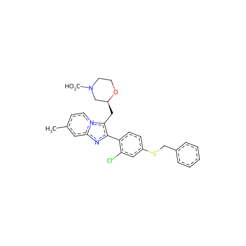 Cc1ccn2c(C[C@H]3CN(C(=O)O)CCO3)c(-c3ccc(SCc4ccccc4)cc3Cl)nc2c1